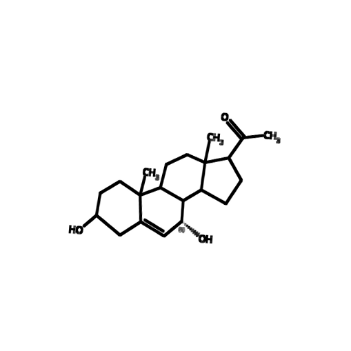 CC(=O)C1CCC2C3C(CCC12C)C1(C)CCC(O)CC1=C[C@H]3O